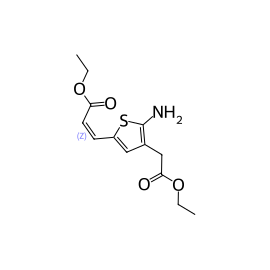 CCOC(=O)/C=C\c1cc(CC(=O)OCC)c(N)s1